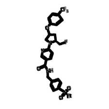 CCS(=O)(=O)c1ccc(CNC(=O)c2ccc(N3CC(Oc4ccc(C(F)(F)F)cc4)C[C@H]3CF)nc2)cc1